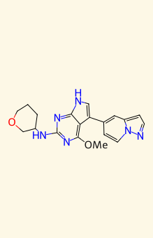 COc1nc(NC2CCCOC2)nc2[nH]cc(-c3ccn4nccc4c3)c12